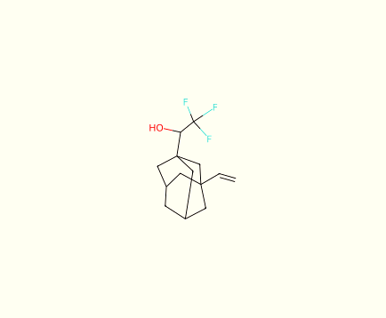 C=CC12CC3CC(C1)CC(C(O)C(F)(F)F)(C3)C2